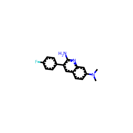 CN(C)c1ccc2cc(-c3ccc(F)cc3)c(N)nc2c1